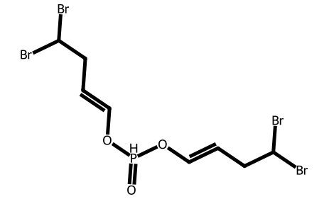 O=[PH](OC=CCC(Br)Br)OC=CCC(Br)Br